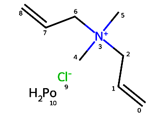 C=CC[N+](C)(C)CC=C.[Cl-].[PoH2]